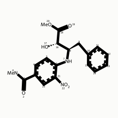 CNC(=O)c1ccc(N[C@H](Cc2ccccc2)[C@H](O)C(=O)OC)c([N+](=O)[O-])c1